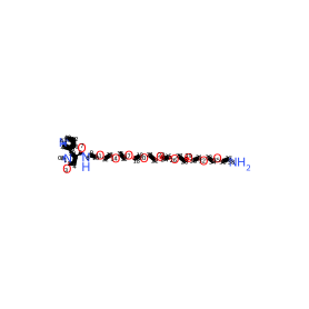 CN1C(=O)C[C@H](C(=O)NCCOCCOCCOCCOCCOCCOCCOCCOCCOCCN)[C@H]1c1cccnc1